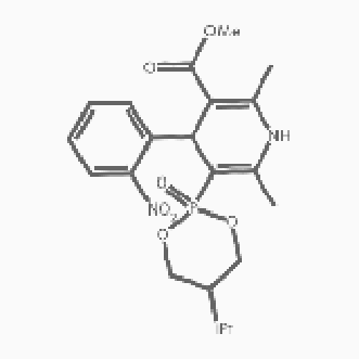 COC(=O)C1=C(C)NC(C)=C(P2(=O)OCC(C(C)C)CO2)C1c1ccccc1[N+](=O)[O-]